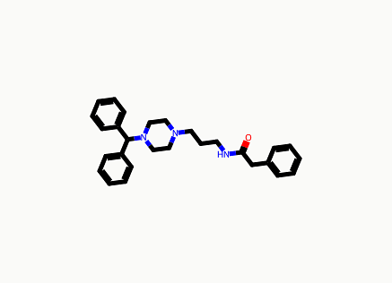 O=C(Cc1ccccc1)NCCCN1CCN(C(c2ccccc2)c2ccccc2)CC1